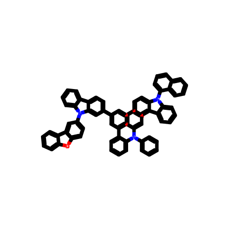 c1ccc(N(c2ccccc2)c2ccccc2-c2cc(-c3ccc4c(c3)c3ccccc3n4-c3cccc4ccccc34)cc(-c3ccc4c5ccccc5n(-c5ccc6oc7ccccc7c6c5)c4c3)c2)cc1